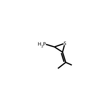 CC(C)=C1SC1P